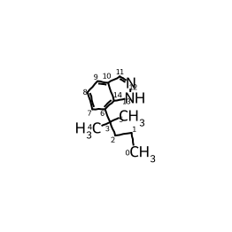 CCCC(C)(C)c1cccc2cn[nH]c12